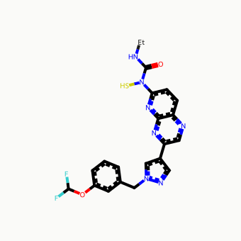 CCNC(=O)N(S)c1ccc2ncc(-c3cnn(Cc4cccc(OC(F)F)c4)c3)nc2n1